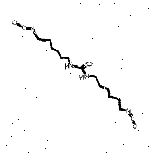 O=C=NCCCCCCNC(=O)NCCCCCCN=C=O